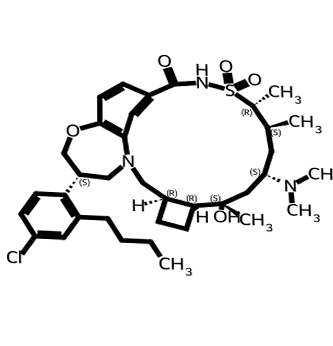 CCCCc1cc(Cl)ccc1[C@@H]1COc2ccc3cc2N(C1)C[C@@H]1CC[C@H]1[C@@](C)(O)C[C@@H](N(C)C)C[C@H](C)[C@@H](C)S(=O)(=O)NC3=O